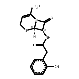 N#Cc1ccccc1CC(=O)N[C@@H]1C(=O)N2C(C(=O)O)=CCS[C@H]12